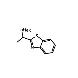 CCCCCCC(C)c1nc2ccccc2s1